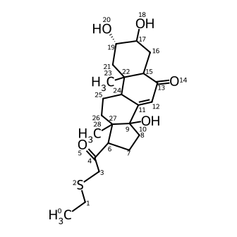 CCSCC(=O)C1CCC2(O)C3=CC(=O)C4CC(O)[C@@H](O)CC4(C)C3CCC12C